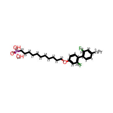 CCCc1ccc(-c2ccc(OCCCCCCCCCCCP(=O)(O)O)cc2F)c(F)c1